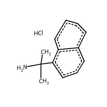 CC(C)(N)c1cccc2ccccc12.Cl